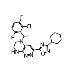 CC(c1c(F)ccc(F)c1Cl)N1CCNc2nnc(-c3nc(C4CCCCC4)no3)cc21